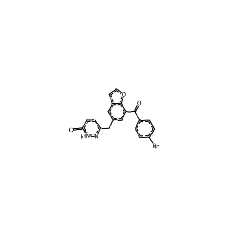 O=C(c1ccc(Br)cc1)c1cc(Cc2ccc(=O)[nH]n2)cc2ccoc12